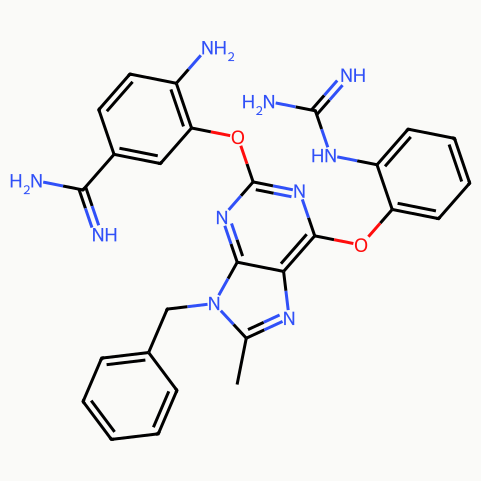 Cc1nc2c(Oc3ccccc3NC(=N)N)nc(Oc3cc(C(=N)N)ccc3N)nc2n1Cc1ccccc1